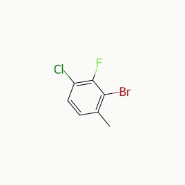 Cc1ccc(Cl)c(F)c1Br